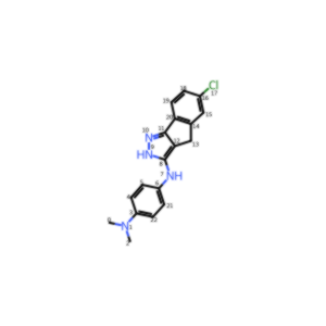 CN(C)c1ccc(Nc2[nH]nc3c2Cc2cc(Cl)ccc2-3)cc1